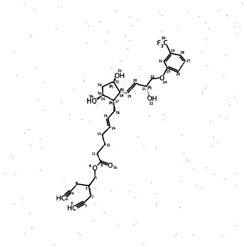 C#CCC(CC#C)COC(=O)CCCC=CC[C@@H]1[C@@H](C=C[C@@H](O)COc2cccc(C(F)(F)F)c2)[C@H](O)C[C@@H]1O